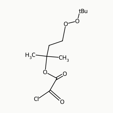 CC(C)(C)OOCCC(C)(C)OC(=O)C(=O)Cl